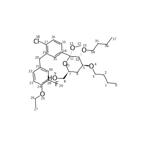 CCCCO[C@H]1C[C@@H](CO)O[C@@](OC)(c2ccc(Cl)c(Cc3ccc(OCC)c(F)c3)c2)[C@@H]1OCCCC